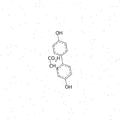 CC(=O)O.Oc1ccc(-c2ccc(O)cc2)cc1